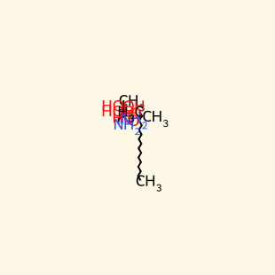 CCCCCCCCCCCCCC(OP(=O)(O)OC(O)(C(N)CN)C(C)(O)O)C(C)C